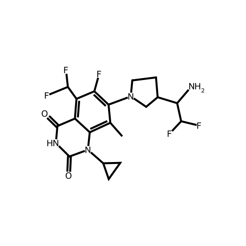 Cc1c(N2CCC(C(N)C(F)F)C2)c(F)c(C(F)F)c2c(=O)[nH]c(=O)n(C3CC3)c12